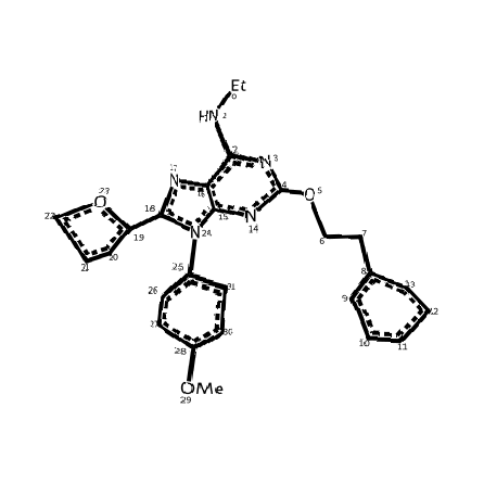 CCNc1nc(OCCc2ccccc2)nc2c1nc(-c1ccco1)n2-c1ccc(OC)cc1